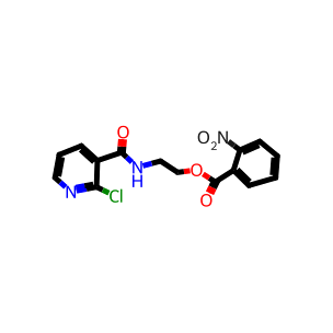 O=C(OCCNC(=O)c1cccnc1Cl)c1ccccc1[N+](=O)[O-]